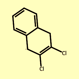 ClC1=C(Cl)Cc2ccccc2[CH]1